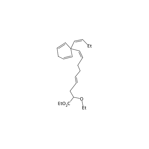 CC/C=C\C1(/C=C\CC/C=C/CC(OCC)C(=O)OCC)C=CCC=C1